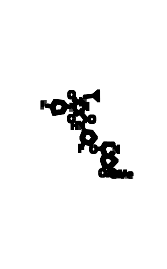 COc1cc2nccc(Oc3ccc(NC(=O)c4nn(CC5CC5)c(=O)n(-c5ccc(F)cc5)c4=O)cc3F)c2cc1OC